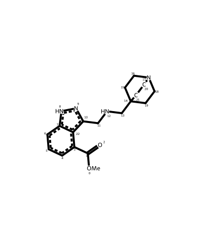 COC(=O)c1cccc2[nH]nc(CNCC34CCN(CC3)CC4)c12